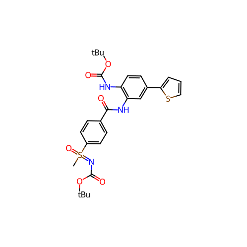 CC(C)(C)OC(=O)N=S(C)(=O)c1ccc(C(=O)Nc2cc(-c3cccs3)ccc2NC(=O)OC(C)(C)C)cc1